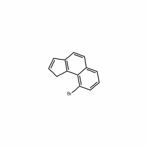 Brc1cccc2ccc3c(c12)CC=C3